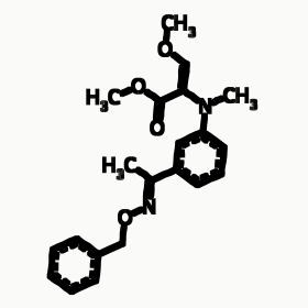 COC=C(C(=O)OC)N(C)c1cccc(C(C)=NOCc2ccccc2)c1